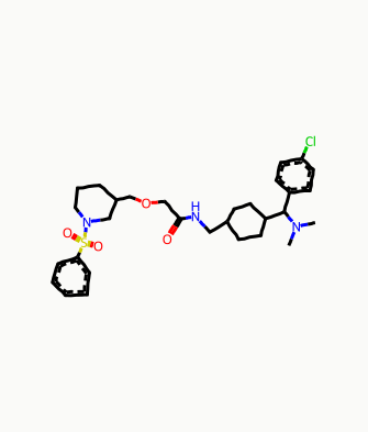 CN(C)C(c1ccc(Cl)cc1)C1CCC(CNC(=O)COCC2CCCN(S(=O)(=O)c3ccccc3)C2)CC1